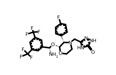 N[C@@H](O[C@H]1OCCN(Cc2n[nH]c(=O)[nH]2)[C@H]1c1ccc(F)cc1)c1cc(C(F)(F)F)cc(C(F)(F)F)c1